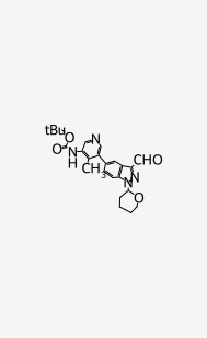 Cc1c(NC(=O)OC(C)(C)C)cncc1-c1ccc2c(c1)c(C=O)nn2C1CCCCO1